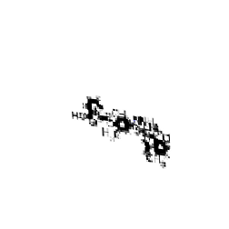 C=C(S/C(=N\N)c1cc(C)c(OCCN2CCCCC2C(=O)O)c(C)c1)N(CCCC)C(=O)c1ccccc1Cl